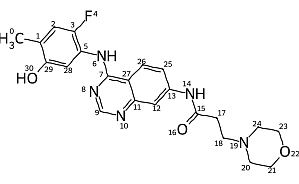 Cc1cc(F)c(Nc2ncnc3cc(NC(=O)CCN4CCOCC4)ccc23)cc1O